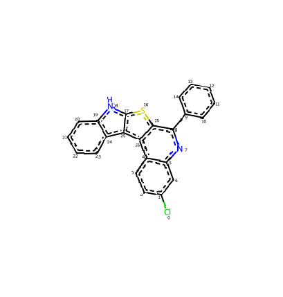 Clc1ccc2c(c1)nc(-c1ccccc1)c1sc3[nH]c4ccccc4c3c12